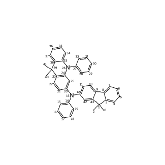 CC1(C)c2ccccc2-c2ccc(N(c3ccccc3)c3ccc4c(c3)N(c3ccccc3)c3ccccc3C4(C)C)cc21